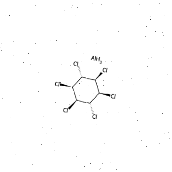 Cl[C@H]1[C@H](Cl)[C@@H](Cl)[C@@H](Cl)[C@H](Cl)[C@H]1Cl.[AlH3]